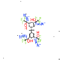 CC(C)(C1CC(C(O)(N=[N+]=[N-])C(F)(F)F)CC(C(O)(N=[N+]=[N-])C(F)(F)F)C1)C1CC(C(O)(N=[N+]=[N-])C(F)(F)F)CC(C(O)(N=[N+]=[N-])C(F)(F)F)C1